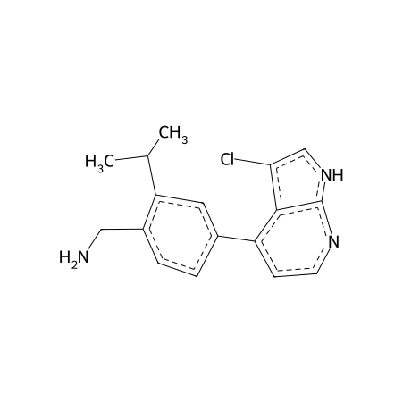 CC(C)c1cc(-c2ccnc3[nH]cc(Cl)c23)ccc1CN